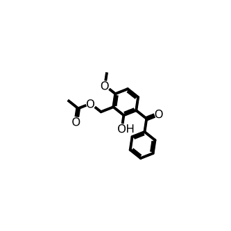 COc1ccc(C(=O)c2ccccc2)c(O)c1COC(C)=O